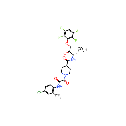 O=C(O)C[C@H](NC(=O)C1CCN(C(=O)C(=O)Nc2ccc(Cl)cc2C(F)(F)F)CC1)C(=O)COc1c(F)c(F)cc(F)c1F